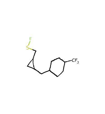 FSCC1CC1CC1CCC(C(F)(F)F)CC1